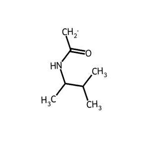 [CH2]C(=O)NC(C)C(C)C